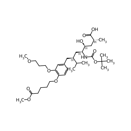 COCCCOc1cc(C[C@@H](C[C@H](NC(=O)OC(C)(C)C)[C@@H](O)C[C@@H](C)C(=O)O)C(C)C)ccc1OCCCCC(=O)OC